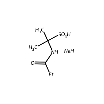 CCC(=O)NC(C)(C)S(=O)(=O)O.[NaH]